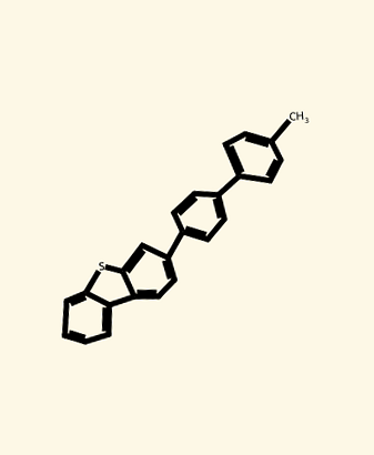 Cc1ccc(-c2ccc(-c3ccc4c(c3)sc3ccccc34)cc2)cc1